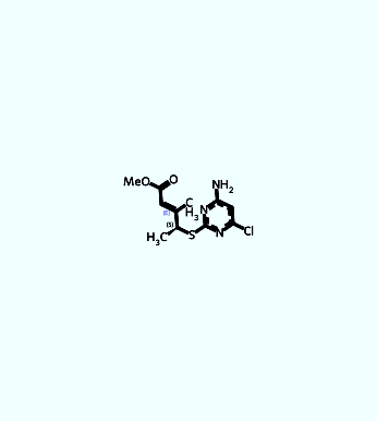 COC(=O)/C=C(\C)[C@H](C)Sc1nc(N)cc(Cl)n1